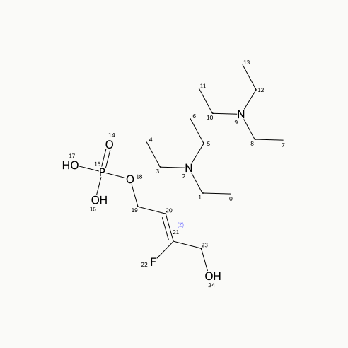 CCN(CC)CC.CCN(CC)CC.O=P(O)(O)OC/C=C(\F)CO